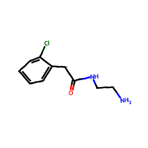 NCCNC(=O)[CH]c1ccccc1Cl